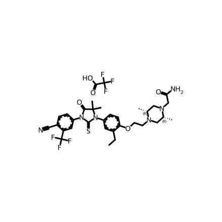 CCc1cc(N2C(=S)N(c3ccc(C#N)c(C(F)(F)F)c3)C(=O)C2(C)C)ccc1OCCN1C[C@@H](C)N(CC(N)=O)C[C@H]1C.O=C(O)C(F)(F)F